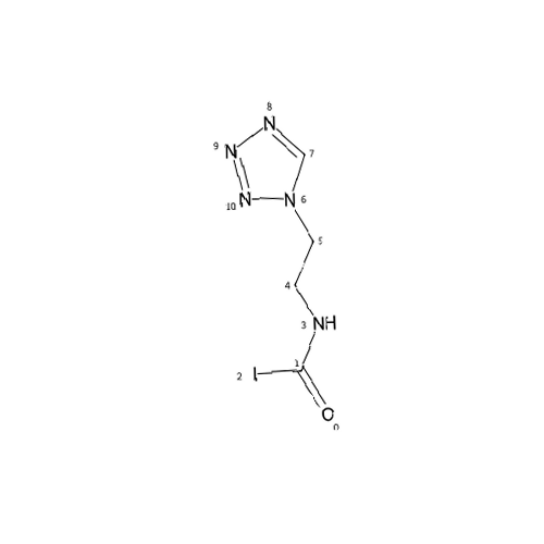 O=C(I)NCCn1cnnn1